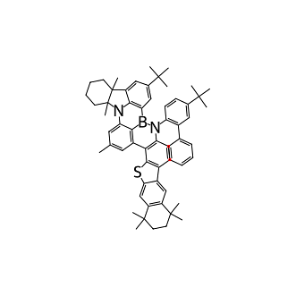 Cc1cc2c3c(c1)N1c4c(cc(C(C)(C)C)cc4C4(C)CCCCC14C)B3N(c1ccc(C(C)(C)C)cc1-c1ccccc1)c1ccc3c(sc4cc5c(cc43)C(C)(C)CCC5(C)C)c1-2